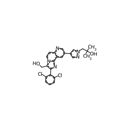 CC(C)(O)Cn1cc(-c2cnc3ccn4c(CO)c(-c5c(Cl)cccc5Cl)nc4c3c2)cn1